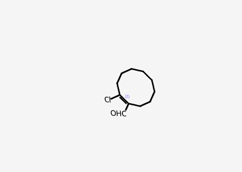 O=C/C1=C(\Cl)CCCCCCCC1